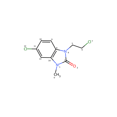 Cn1c(=O)n(CCCl)c2ccc(Cl)cc21